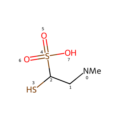 CNCC(S)S(=O)(=O)O